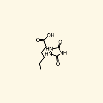 CCCCCC(=O)O.O=c1[nH][nH]c(=O)[nH]1